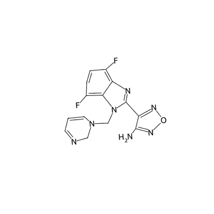 Nc1nonc1-c1nc2c(F)ccc(F)c2n1CN1C=CC=NC1